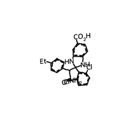 CCc1ccc(C(C(N)=O)C2(c3c(Cl)cccc3Cl)Nc3ccc(C(=O)O)cc3N2)cc1